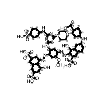 COc1cc(N=Nc2cc(S(=O)(=O)O)cc3cc(S(=O)(=O)O)cc(O)c23)c(Nc2nc(Nc3ccc(S(=O)(=O)O)cc3)nc(N3CCOCC3)n2)cc1N=Nc1c(S(=O)(=O)O)cc2ccc(Nc3ccc(C(=O)O)cc3)cc2c1O